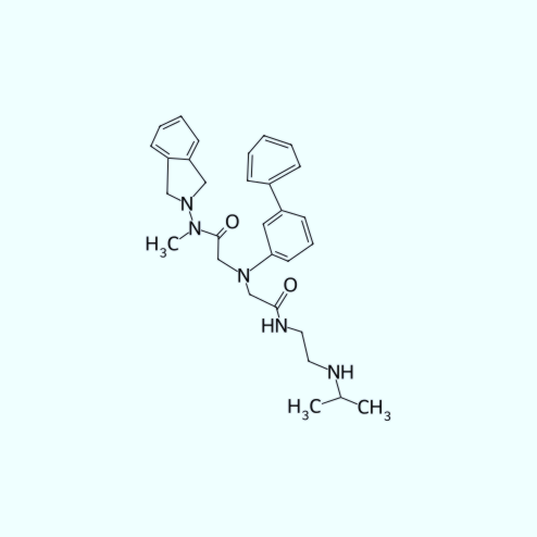 CC(C)NCCNC(=O)CN(CC(=O)N(C)N1Cc2ccccc2C1)c1cccc(-c2ccccc2)c1